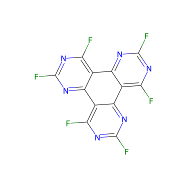 Fc1nc(F)c2c(n1)c1c(F)nc(F)nc1c1c(F)nc(F)nc21